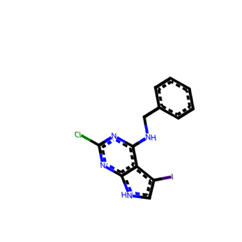 Clc1nc(NCc2ccccc2)c2c(I)c[nH]c2n1